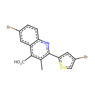 Cc1c(-c2cc(Br)cs2)nc2ccc(Br)cc2c1C(=O)O